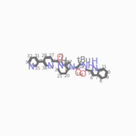 CC(C)(C)[C@H](NC(=O)c1cc2ccccc2[nH]1)C(=O)N1C[C@@H]2C1CCCN2C(=O)c1ccc(-c2cccnc2)cn1